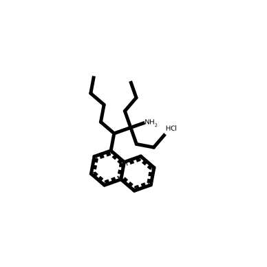 CCCCC(c1cccc2ccccc12)C(N)(CCC)CCC.Cl